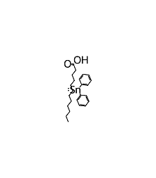 CCCCCCCCCCCC(=O)O.c1cc[c]([Sn][c]2ccccc2)cc1